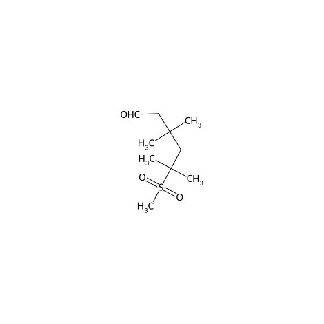 CC(C)(CC=O)CC(C)(C)S(C)(=O)=O